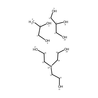 CC(O)CO.OCC(O)CO.OCCN(CCO)CCO